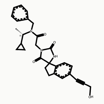 C[C@@H](C1CC1)N(Cc1ccccc1)C(=O)CN1C(=O)NC2(CCc3cc(C#CCO)ccc32)C1=O